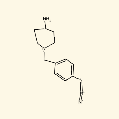 [N-]=[N+]=Nc1ccc(CN2CCC(N)CC2)cc1